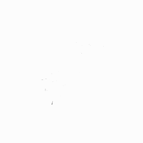 C[C@@H](NS(=O)(=O)CCCCCN1CCC(=O)NC1=O)c1cccc(OCC2CC2)c1